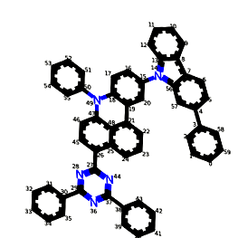 c1ccc(-c2ccc3c4ccccc4n(-c4ccc5c(c4)-c4cccc6c(-c7nc(-c8ccccc8)nc(-c8ccccc8)n7)ccc(c46)N5c4ccccc4)c3c2)cc1